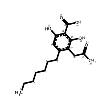 CCCCCCCc1cc(O)c(C(=O)O)c(O)c1CC(C)=O